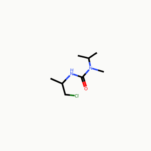 CC(CCl)NC(=O)N(C)C(C)C